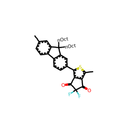 CCCCCCCCC1(CCCCCCCC)c2cc(C)ccc2-c2ccc(-c3sc(C)c4c3C(=O)C(F)(F)C4=O)cc21